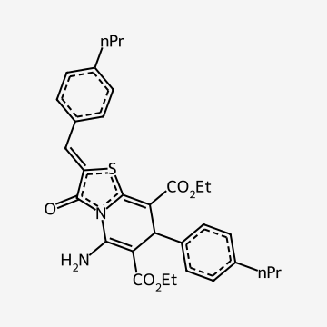 CCCc1ccc(C=c2sc3n(c2=O)C(N)=C(C(=O)OCC)C(c2ccc(CCC)cc2)C=3C(=O)OCC)cc1